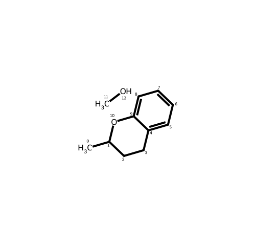 CC1CCc2ccccc2O1.CO